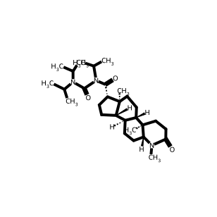 CC(C)N(C(=O)[C@H]1CC[C@H]2[C@@H]3CC[C@H]4N(C)C(=O)CC[C@]4(C)[C@H]3CC[C@]12C)C(=O)N(C(C)C)C(C)C